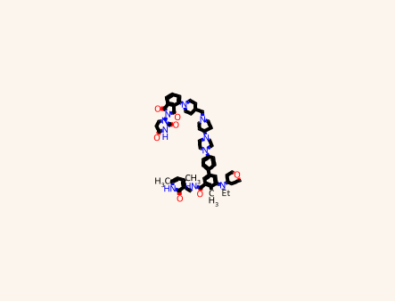 CCN(c1cc(-c2ccc(N3CCN(C4CCN(CC5CCN(c6cccc7c6C(=O)N(N6CCC(=O)NC6=O)C7=O)CC5)CC4)CC3)cc2)cc(C(=O)NCc2c(C)cc(C)[nH]c2=O)c1C)C1CCOCC1